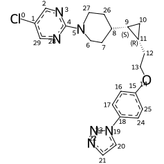 Clc1cnc(N2CCC([C@@H]3C[C@@H]3CCOc3ccc(-n4ccnn4)cc3)CC2)nc1